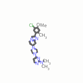 COc1cc(C)c(-c2cn3ccc(N4CCN(c5ccnc(N(C)C)n5)CC4)cc3n2)cc1Cl